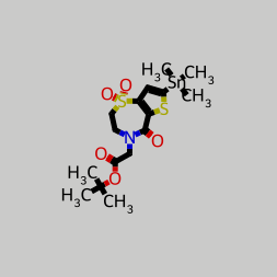 CC(C)(C)OC(=O)CN1CCS(=O)(=O)c2c[c]([Sn]([CH3])([CH3])[CH3])sc2C1=O